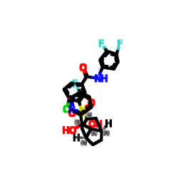 O=C(Nc1ccc(F)c(F)c1)c1ccc(Cl)c(S(=O)(=O)[C@@H]2C[C@H]3CC[C@@H](C2)[C@@]3(O)[C@@H](O)c2ccc(F)cn2)c1